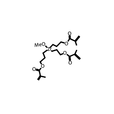 C=C(C)C(=O)OCC[CH2][Zr]([CH2]CCOC(=O)C(=C)C)([CH2]CCOC(=O)C(=C)C)[O]C